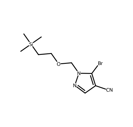 C[Si](C)(C)CCOCn1ncc(C#N)c1Br